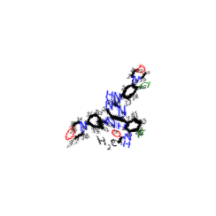 C=CC(=O)Nc1cc(-c2nc(Nc3ccc(Cl)c(N4CCOCC4)c3)ncc2Nc2ccc(N3CCOCC3)cc2)ccc1F